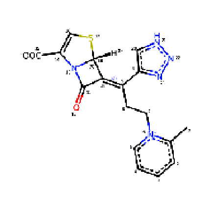 Cc1cccc[n+]1CC/C(=C1\C(=O)N2C(C(=O)[O-])=CS[C@H]12)c1c[nH]nn1